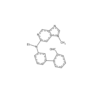 CCN(c1cccc(-c2ccccc2C=O)c1)c1cc2c(cn1)ncn2C